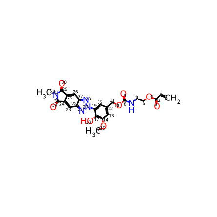 C=CC(=O)OCCNC(=O)OCc1cc(OC)c(O)c(-n2nc3cc4c(cc3n2)C(=O)N(C)C4=O)c1